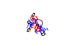 O=C(N[C@H]1CCCCC/C=C\C2C[C@]2(C(=O)NCCc2ccccc2)NC(=O)[C@@H]2C[C@@H](Oc3nc4ccccc4nc3-c3cccs3)CN2C1=O)OC1CCCC1